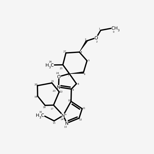 CCOC[C@H]1CC[C@]2(CC(C3=CC=N[N+]3(CC)C3CCCCC3)=NO2)C(C)C1